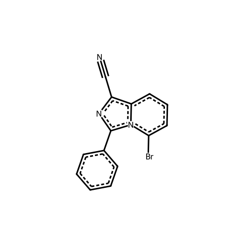 N#Cc1nc(-c2ccccc2)n2c(Br)cccc12